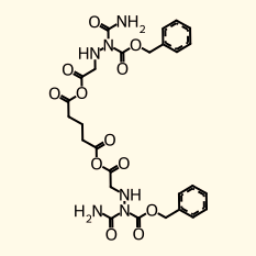 NC(=O)N(NCC(=O)OC(=O)CCCC(=O)OC(=O)CNN(C(N)=O)C(=O)OCc1ccccc1)C(=O)OCc1ccccc1